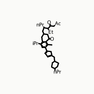 CCCC1CCC(CC2=CC=C(c3cc(C(C)C)c4c(c3C)C(=O)CC(CC(CCC)C(CC)C(=O)CC(C)=O)C4)C2)CC1